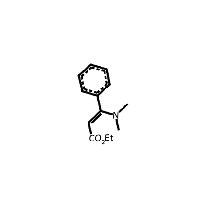 CCOC(=O)C=C(c1ccccc1)N(C)C